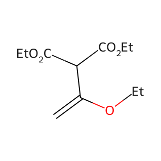 C=C(OCC)C(C(=O)OCC)C(=O)OCC